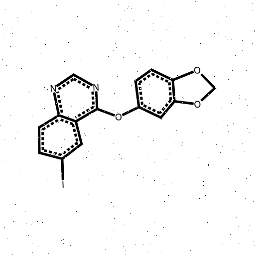 Ic1ccc2ncnc(Oc3ccc4c(c3)OCO4)c2c1